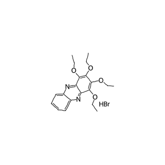 Br.CCOc1c(OCC)c(OCC)c2nc3ccccc3nc2c1OCC